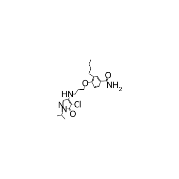 CCCCc1cc(C(N)=O)ccc1OCCCNc1cnn(C(C)C)c(=O)c1Cl